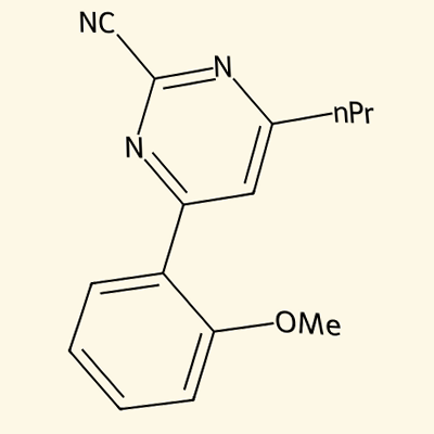 CCCc1cc(-c2ccccc2OC)nc(C#N)n1